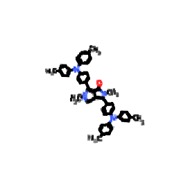 Cc1ccc(N(c2ccc(C)cc2)c2ccc(C3=C4C(=O)N(C)C(c5ccc(N(c6ccc(C)cc6)c6ccc(C)cc6)cc5)=C4CN3C)cc2)cc1